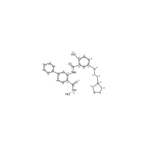 Cl.O=C(Nc1cc(-c2ccccc2)ccc1C(=O)O)c1cc(OCCN2CCCC2)ccc1O